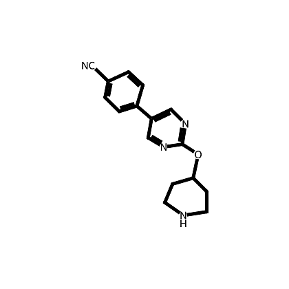 N#Cc1ccc(-c2cnc(OC3CCNCC3)nc2)cc1